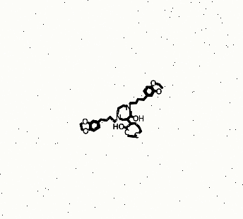 OC1CCCCCCCC1C1CN(CCCCc2ccc3c(c2)OCCO3)CCCN(CCCCc2ccc3c(c2)OCCO3)CC1O